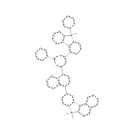 CC1(C)c2ccc(-c3ccc(-c4cc(-c5cccc6c5-c5ccccc5C6(C)c5ccccc5)nc(-c5ccccc5)n4)c4ccccc34)cc2-c2c1ccc1ccccc21